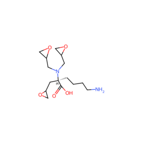 NCCCC[C@@](CC1CO1)(C(=O)O)N(CC1CO1)CC1CO1